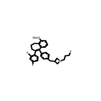 COc1cccc2c1CCCC(c1ccc(F)cc1F)=C2c1ccc(CC2CN(CCCF)C2)cc1